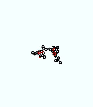 CC1(C)c2ccc(-c3ccc4c(c3)c3ccccc3n4-c3ccc(N(c4ccc5c(c4)oc4ccccc45)c4cccc(-c5ccccc5)c4-c4ccccc4-c4ccccc4)cc3)cc2-c2ccc(N(c3cccc(-c4cccc5c4c4ccccc4n5-c4ccccc4)c3)c3cccc(-c4ccccc4)c3-c3ccccc3-c3ccccc3)cc21